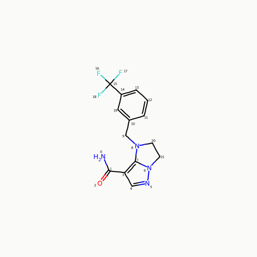 NC(=O)c1cnn2c1N(Cc1cccc(C(F)(F)F)c1)CC2